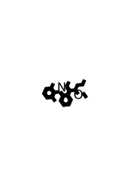 CCCC(OCC)c1c(C)nc(-c2c(C)cccc2C)c2ccccc12